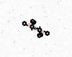 Cc1cc(OCc2ccccc2)c(C23CC4CC(CC(C4)C2)C3)cc1[Se][Se]c1cc(C23CC4CC(CC(C4)C2)C3)c(OCc2ccccc2)cc1C